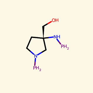 OC[C@]1(NP)CCN(P)C1